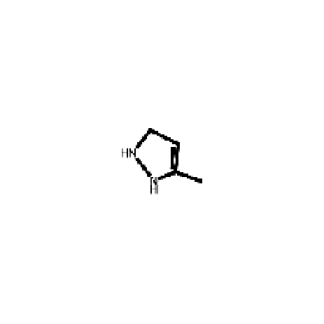 CC1=CCNN1